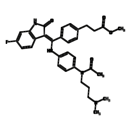 COC(=O)CCc1ccc(C(Nc2ccc(N(CCCN(C)C)C(C)=O)cc2)=C2C(=O)Nc3cc(F)ccc32)cc1